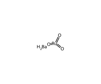 [BaH2].[O]=[Ru](=[O])=[O]